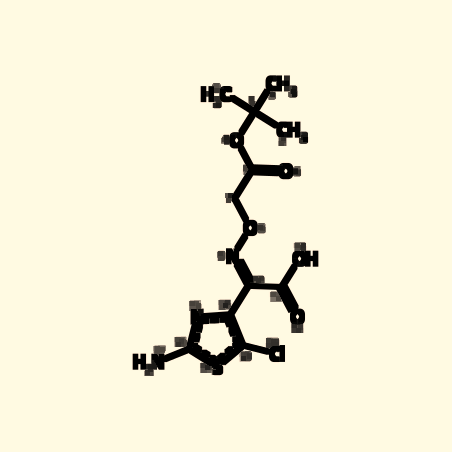 CC(C)(C)OC(=O)CON=C(C(=O)O)c1nc(N)sc1Cl